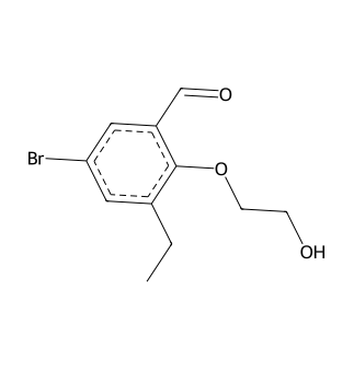 CCc1cc(Br)cc(C=O)c1OCCO